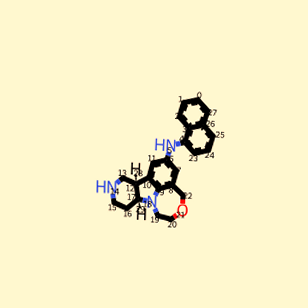 c1ccc2c(Nc3cc4c5c(c3)[C@@H]3CNCC[C@@H]3N5CCOC4)cccc2c1